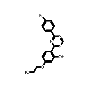 OCCOc1ccc(-c2ncnc(-c3ccc(Br)cc3)n2)c(O)c1